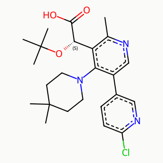 Cc1ncc(-c2ccc(Cl)nc2)c(N2CCC(C)(C)CC2)c1[C@H](OC(C)(C)C)C(=O)O